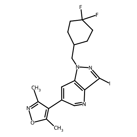 Cc1noc(C)c1-c1cnc2c(I)nn(CC3CCC(F)(F)CC3)c2c1